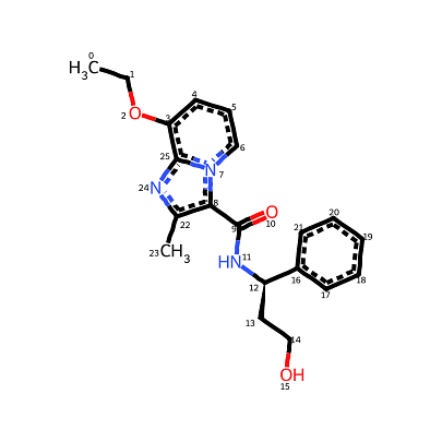 CCOc1cccn2c(C(=O)N[C@H](CCO)c3ccccc3)c(C)nc12